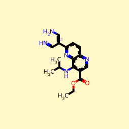 CCOC(=O)c1cnc2ccc(/C(C=N)=C/N)nc2c1NC(C)C